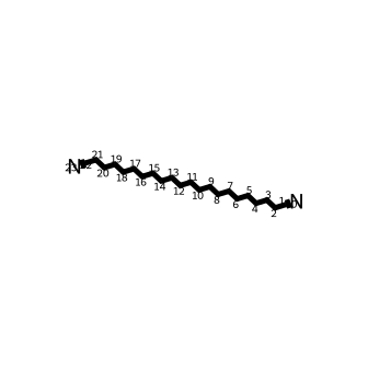 N#CCCCCCCCCCCCCCCCCCCCCC#N